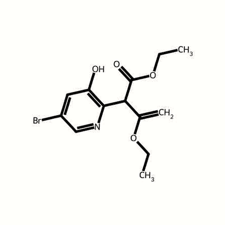 C=C(OCC)C(C(=O)OCC)c1ncc(Br)cc1O